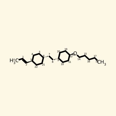 CC=C[C@H]1CC[C@H](CC[C@H]2CC[C@H](OCCCCC)CC2)CC1